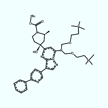 C[C@H]1C[C@](O)(c2cc(N(COCC[Si](C)(C)C)COCC[Si](C)(C)C)n3ncc(-c4ccc(-c5ccccc5)nc4)c3n2)CCN1C(=O)OC(C)(C)C